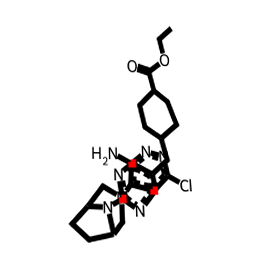 CCOC(=O)C1CCC(Cc2cnc(N3C4CCC3CN(c3cc(Cl)nnc3N)C4)nc2)CC1